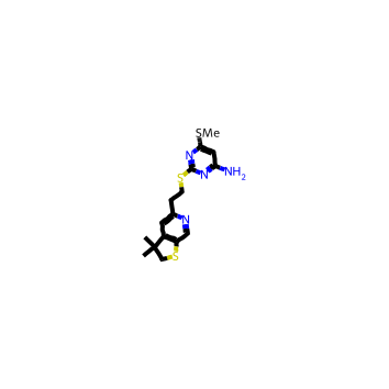 CSc1cc(N)nc(SCCc2cc3c(cn2)SCC3(C)C)n1